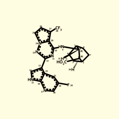 O=C(O)[C@@H]1C2CCC(CC2)[C@H]1Nc1nc(-c2c[nH]c3ncc(F)cc23)nn2ccc(C(F)(F)F)c12